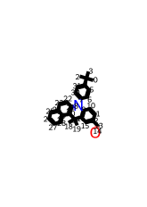 CC(C)(C)c1ccc(N2c3ccc(C=O)cc3C(C)(C)c3c2ccc2ccccc32)cc1